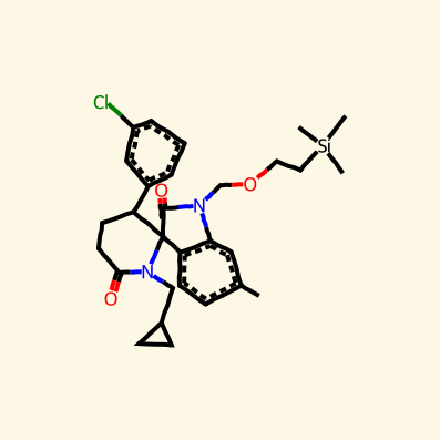 Cc1ccc2c(c1)N(COCC[Si](C)(C)C)C(=O)C21C(c2cccc(Cl)c2)CCC(=O)N1CC1CC1